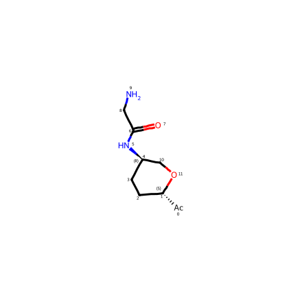 CC(=O)[C@@H]1CC[C@@H](NC(=O)CN)CO1